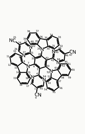 N#Cc1cnc(-c2c(-n3c4ccccc4c4ccccc43)c(-c3ncc(C#N)cn3)c(-n3c4ccccc4c4ccccc43)c(-c3ncc(C#N)cn3)c2-n2c3ccccc3c3ccccc32)nc1